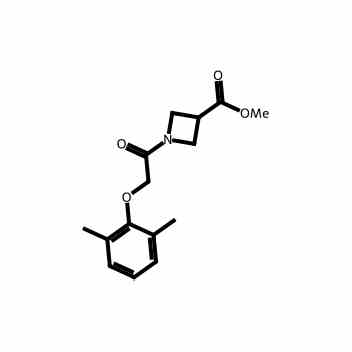 COC(=O)C1CN(C(=O)COc2c(C)c[c]cc2C)C1